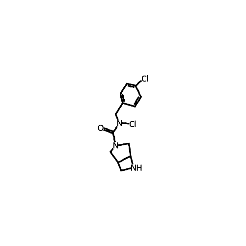 O=C(N(Cl)Cc1ccc(Cl)cc1)N1CC2CNC2C1